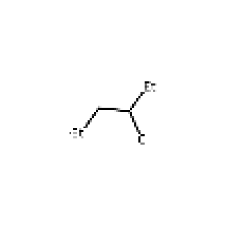 C[CH]CC(Cl)CC